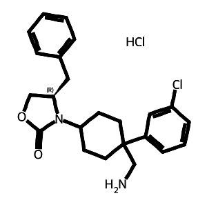 Cl.NCC1(c2cccc(Cl)c2)CCC(N2C(=O)OC[C@H]2Cc2ccccc2)CC1